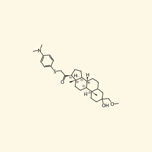 COCC1(O)CC[C@@]2(C)C(CC[C@H]3[C@@H]4CC[C@H](C(=O)CSc5ccc(N(C)C)cc5)[C@@]4(C)CC[C@@H]32)C1